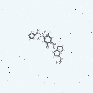 O=S(=O)(Nc1nccs1)c1cc(Cl)c(NC[C@]23CCCN2[C@@H](CO)CC3)cc1F